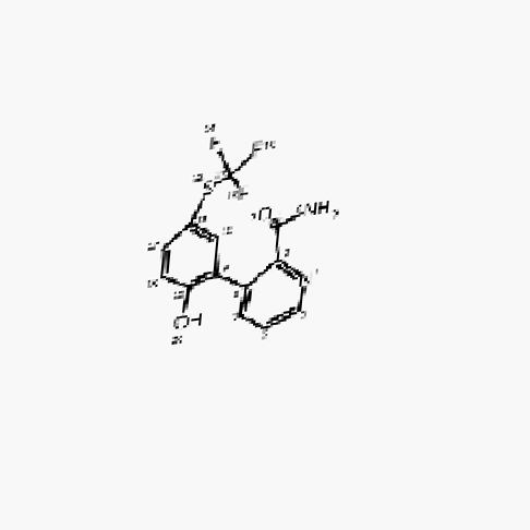 NC(=O)c1ncccc1-c1cc(SC(F)(F)F)ccc1O